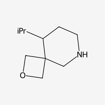 CC(C)C1CCNCC12COC2